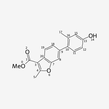 COC(=O)c1c(C)oc2cc(-c3ccc(O)cc3C)ccc12